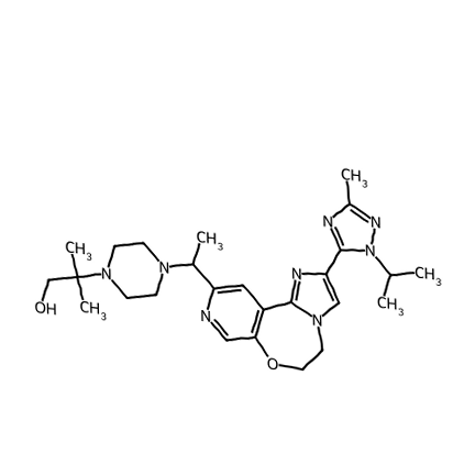 Cc1nc(-c2cn3c(n2)-c2cc(C(C)N4CCN(C(C)(C)CO)CC4)ncc2OCC3)n(C(C)C)n1